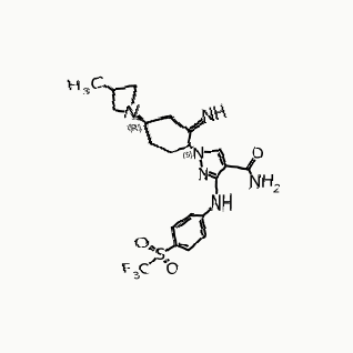 CC1CN([C@@H]2CC[C@H](n3cc(C(N)=O)c(Nc4ccc(S(=O)(=O)C(F)(F)F)cc4)n3)C(=N)C2)C1